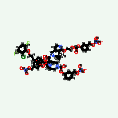 Cc1c(CN(C(=O)C2=C(c3ccc(CCCOc4c(F)ccc(F)c4Cl)cc3)CC3CN(C(=O)Oc4cccc(CO[N+](=O)[O-])c4)CC2N3C(=O)Oc2cccc(CO[N+](=O)[O-])c2)C2CC2)ccnc1OCCOC(=O)Oc1cccc(CO[N+](=O)[O-])c1